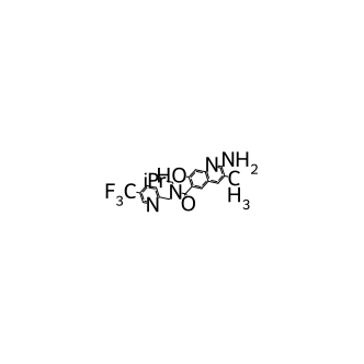 Cc1cc2cc(C(=O)N(Cc3ccc(C(F)(F)F)cn3)CC(C)C)c(O)cc2nc1N